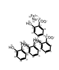 O=C([O-])c1ccccc1O.O=C([O-])c1ccccc1O.O=C([O-])c1ccccc1O.O=C([O-])c1ccccc1O.[Fe+3].[Na+]